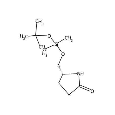 CC(C)(C)O[Si](C)(C)OC[C@H]1CCC(=O)N1